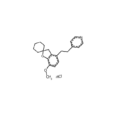 COc1ccc(CCc2ccncc2)c2c1OC1(CCCCC1)C2.Cl